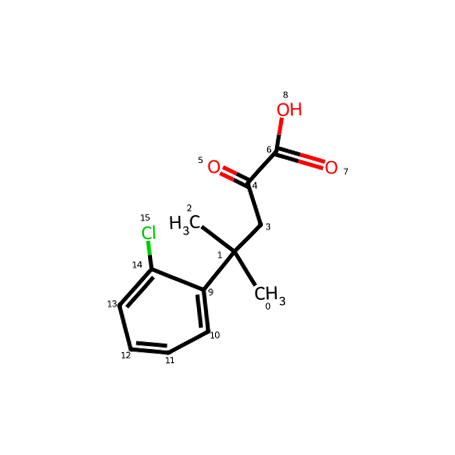 CC(C)(CC(=O)C(=O)O)c1ccccc1Cl